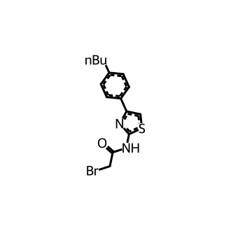 CCCCc1ccc(-c2csc(NC(=O)CBr)n2)cc1